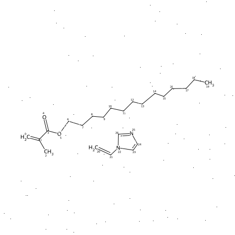 C=C(C)C(=O)OCCCCCCCCCCCCCC.C=Cn1ccnc1